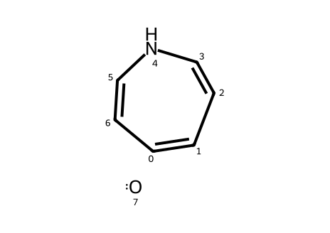 C1=CC=CNC=C1.[O]